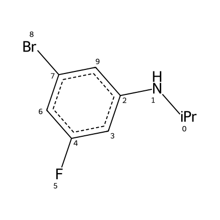 CC(C)Nc1cc(F)cc(Br)c1